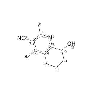 Cc1nc2c(c(C)c1C#N)CCCC2O